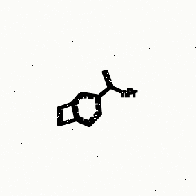 C=C(CCC)c1ccc2c(c1)C=C2